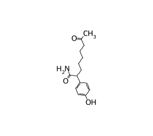 CC(=O)CCCCCC(C(N)=O)c1ccc(O)cc1